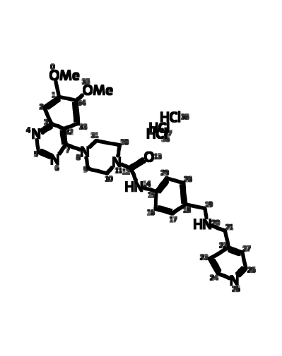 COc1cc2ncnc(N3CCN(C(=O)Nc4ccc(CNCc5ccncc5)cc4)CC3)c2cc1OC.Cl.Cl.Cl